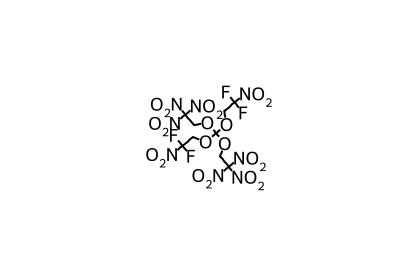 O=[N+]([O-])C(F)(F)COC(OCC(F)(F)[N+](=O)[O-])(OCC([N+](=O)[O-])([N+](=O)[O-])[N+](=O)[O-])OCC([N+](=O)[O-])([N+](=O)[O-])[N+](=O)[O-]